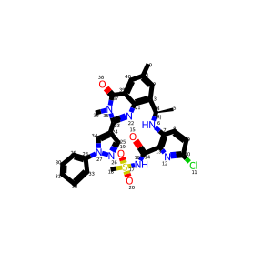 Cc1cc([C@@H](C)Nc2ccc(Cl)nc2C(=O)NS(C)(=O)=O)c2nc(-c3cnn(-c4ccccc4)c3)n(C)c(=O)c2c1